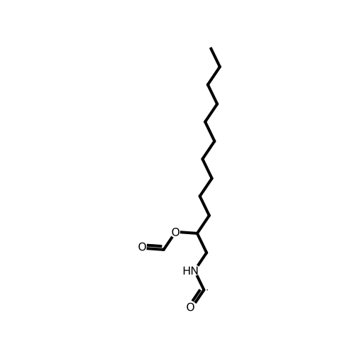 CCCCCCCCCCC(CN[C]=O)OC=O